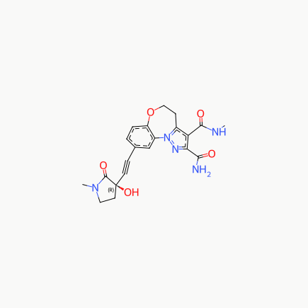 CNC(=O)c1c(C(N)=O)nn2c1CCOc1ccc(C#C[C@]3(O)CCN(C)C3=O)cc1-2